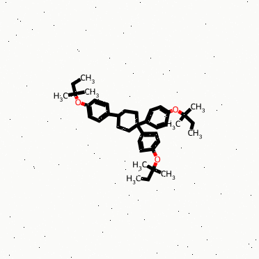 CCC(C)(C)Oc1ccc(C2CCC(c3ccc(OC(C)(C)CC)cc3)(c3ccc(OC(C)(C)CC)cc3)CC2)cc1